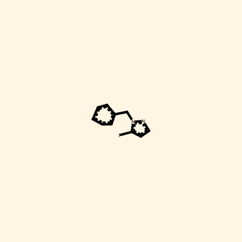 Ic1ccnn1Cc1ccccc1